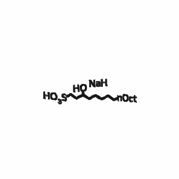 CCCCCCCCCCCCCC(O)CCS(=O)(=O)O.[NaH]